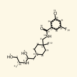 C[C@H](CO)NC(O)CN1CCC(F)(CNC(=O)c2cc(F)cc(Cl)c2)CC1